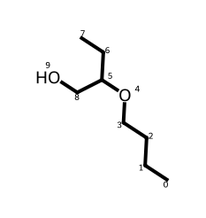 CCCCOC(CC)CO